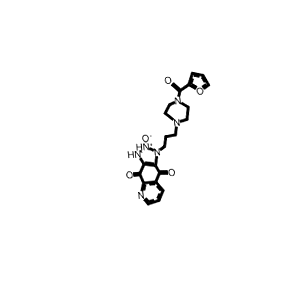 O=C1C2=C(N[NH+]([O-])N2CCCN2CCN(C(=O)c3ccco3)CC2)C(=O)c2ncccc21